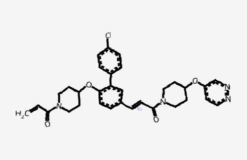 C=CC(=O)N1CCC(Oc2ccc(/C=C/C(=O)N3CCC(Oc4ccnnc4)CC3)cc2-c2ccc(Cl)cc2)CC1